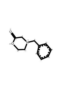 O=C1CN(Cc2ccccc2)CCO1